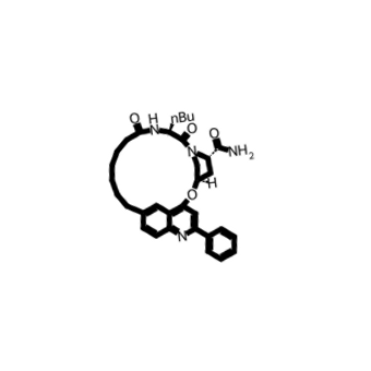 CCCC[C@@H]1NC(=O)CCCCCCc2ccc3nc(-c4ccccc4)cc(c3c2)O[C@@H]2C[C@@H](C(N)=O)N(C2)C1=O